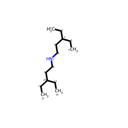 CCC(CC)CCNCCC(CC)CC